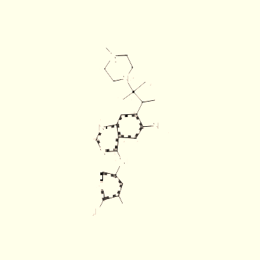 CC(c1cc2ncnc(Nc3ccc(F)c(Cl)c3)c2cc1N)C(C)(C)N1CCN(C)CC1